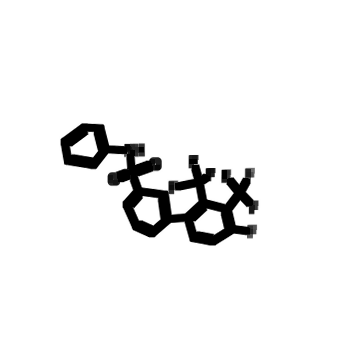 O=S(=O)(Nc1ccccc1)c1cccc(-c2ccc(F)c(C(F)(F)F)c2C(F)(F)F)c1